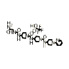 NC(=O)CNC(=O)NC1CCN(C(=O)NC2CCN(C(=O)NC3CCN(c4ccccn4)CC3)CC2)CC1.O=C(O)C(F)(F)F